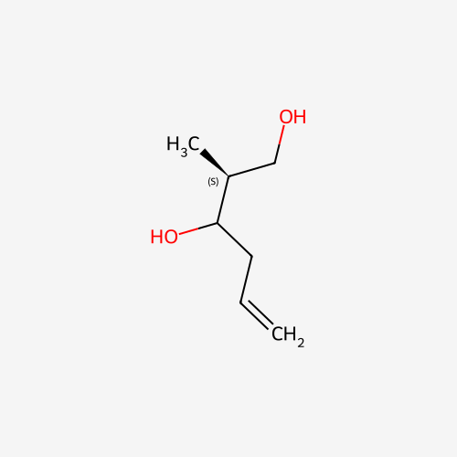 C=CCC(O)[C@@H](C)CO